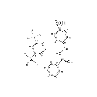 C[Si](C)(C)c1cccc([Si](C)(C)C)c1.O=C(O)c1ccc(COC(=O)c2ccccc2)cc1